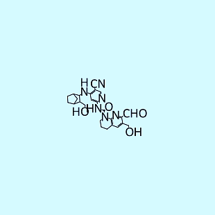 N#Cc1cnc(NC(=O)N2CCCc3cc(CO)c(C=O)nc32)cc1NC1C2CCC(C2)C1CO